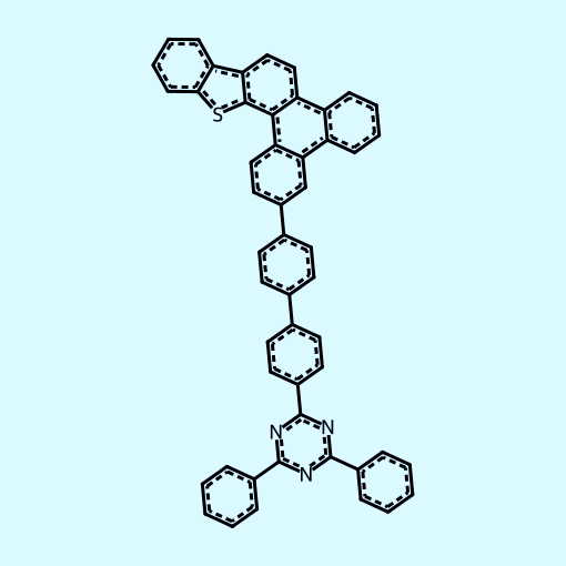 c1ccc(-c2nc(-c3ccccc3)nc(-c3ccc(-c4ccc(-c5ccc6c(c5)c5ccccc5c5ccc7c8ccccc8sc7c56)cc4)cc3)n2)cc1